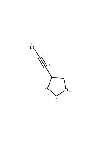 CCC#CC1CCOC1